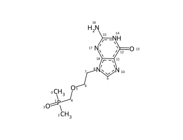 CP(C)(=O)COCCn1cnc2c(=O)[nH]c(N)nc21